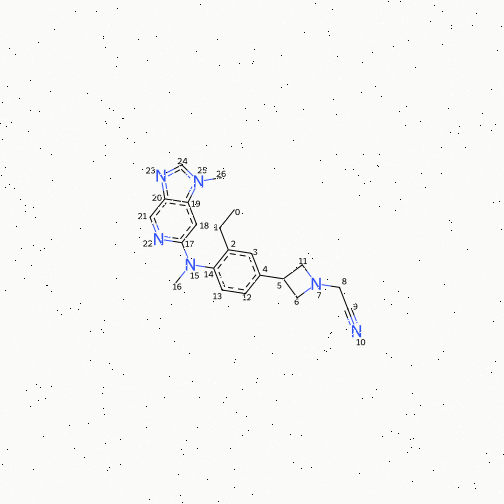 CCc1cc(C2CN(CC#N)C2)ccc1N(C)c1cc2c(cn1)ncn2C